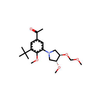 COCO[C@@H]1CN(c2cc(C(C)=O)cc(C(C)(C)C)c2OC)C[C@H]1OC